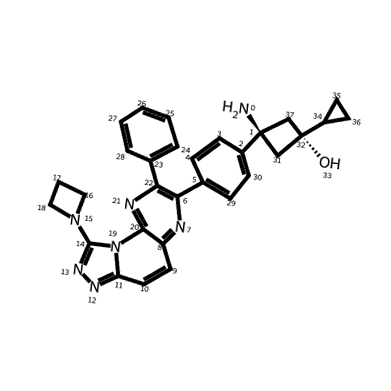 N[C@]1(c2ccc(-c3nc4ccc5nnc(N6CCC6)n5c4nc3-c3ccccc3)cc2)C[C@](O)(C2CC2)C1